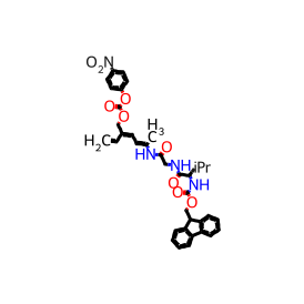 C=C/C(=C\C=C(/C)NC(=O)CNC(=O)C(NC(=O)OCC1c2ccccc2-c2ccccc21)C(C)C)COC(=O)Oc1ccc([N+](=O)[O-])cc1